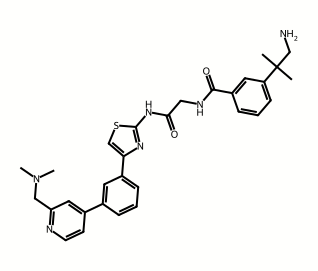 CN(C)Cc1cc(-c2cccc(-c3csc(NC(=O)CNC(=O)c4cccc(C(C)(C)CN)c4)n3)c2)ccn1